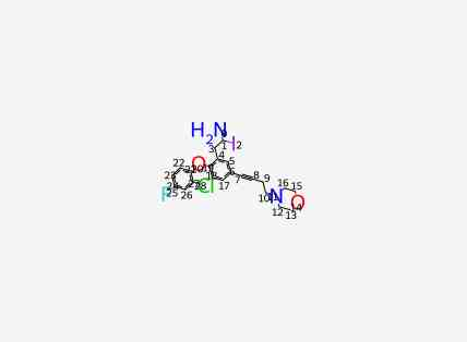 NC(I)Cc1cc(C#CCCN2CCOCC2)ccc1Oc1ccc(F)cc1Cl